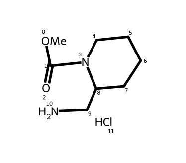 COC(=O)N1CCCCC1CN.Cl